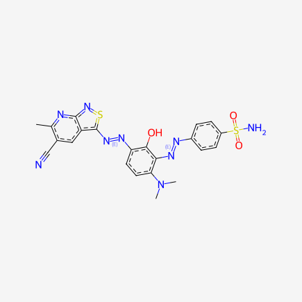 Cc1nc2nsc(/N=N/c3ccc(N(C)C)c(/N=N/c4ccc(S(N)(=O)=O)cc4)c3O)c2cc1C#N